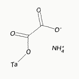 O=C([O-])C(=O)[O][Ta].[NH4+]